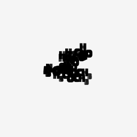 C=C1NC(=O)C=CN1[C@@H]1O[C@H](COP(=O)(N[C@@H](C)C(=O)OC(C)C)Oc2ccc(-c3nccs3)cc2)[C@@H](O)[C@@]1(C)F